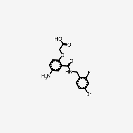 Nc1ccc(OCC(=O)O)c(C(=O)NCc2ccc(Br)cc2F)c1